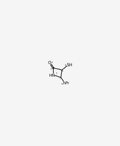 CCCC1NC(=O)C1S